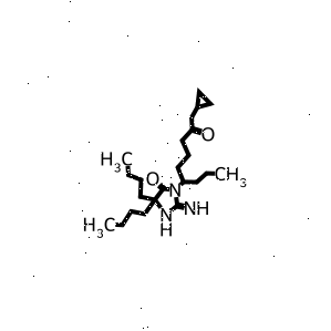 CCCCC1(CCCC)NC(=N)N(C(CCC)CCCC(=O)CC2CC2)C1=O